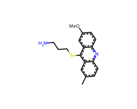 COc1ccc2nc3ccc(C)cc3c(SCCCN)c2c1